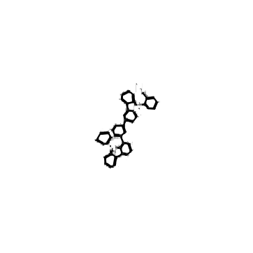 N#Cc1ccccc1-n1c2ccccc2c2cc(-c3cccc(-c4cccc5c6ccccc6n(-c6ccccc6)c45)c3)ccc21